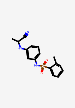 Cc1ccccc1S(=O)(=O)Nc1cccc(NC(C)C#N)c1